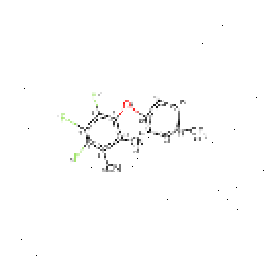 N#Cc1c(F)c(F)c(F)c(Oc2ccc(C(F)(F)F)cc2)c1C#N